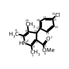 COC(=O)C1=C(C)NC(C)=C(C)C1c1ccc(Cl)cc1